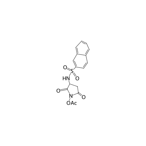 CC(=O)ON1C(=O)CC(NS(=O)(=O)c2ccc3ccccc3c2)C1=O